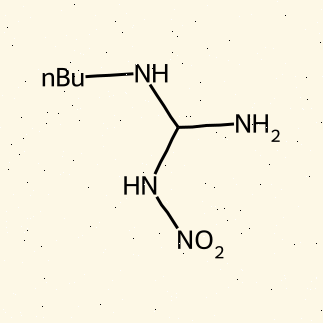 CCCCNC(N)N[N+](=O)[O-]